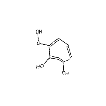 OOc1cccc(O)c1O